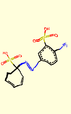 Nc1ccc(N=NC2(S(=O)(=O)O)C=CC=CC2)cc1S(=O)(=O)O